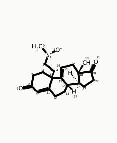 C[S+]([O-])CC[C@]12CCC(=O)C=C1CC[C@@H]1C2=CC[C@]2(C)C(=O)CC[C@@H]12